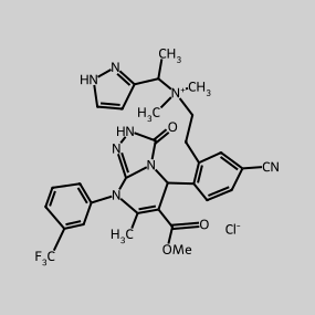 COC(=O)C1=C(C)N(c2cccc(C(F)(F)F)c2)c2n[nH]c(=O)n2C1c1ccc(C#N)cc1CC[N+](C)(C)C(C)c1cc[nH]n1.[Cl-]